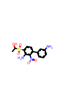 CC(O)S(=O)(=O)c1ccc(-c2cccc(N)c2)c([N+](=O)[O-])c1N